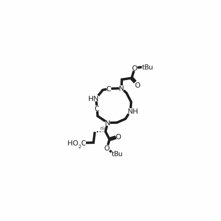 CC(C)(C)OC(=O)CN1CCNCCN([C@@H](CCC(=O)O)C(=O)OC(C)(C)C)CCNCC1